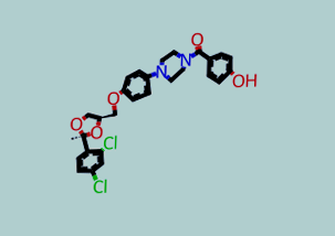 C[C@]1(c2ccc(Cl)cc2Cl)OC[C@@H](COc2ccc(N3CCN(C(=O)c4ccc(O)cc4)CC3)cc2)O1